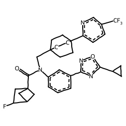 O=C(N(CC12CCC(c3ccc(C(F)(F)F)cn3)(CC1)CC2)c1cccc(-c2noc(C3CC3)n2)c1)C12CC(F)C(C1)C2